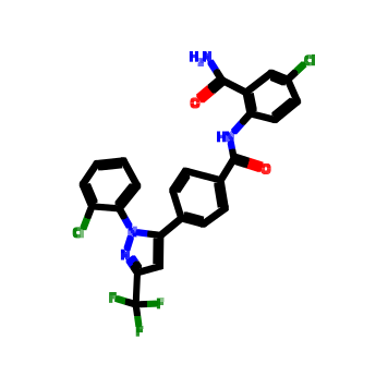 NC(=O)c1cc(Cl)ccc1NC(=O)c1ccc(-c2cc(C(F)(F)F)nn2-c2ccccc2Cl)cc1